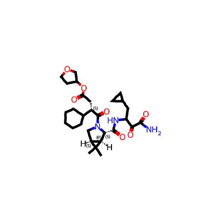 CC1(C)[C@@H]2[C@@H](C(=O)NC(CC3CC3)C(=O)C(N)=O)N(C(=O)[C@@H](CC(=O)OC3CCOC3)C3CCCCC3)C[C@@H]21